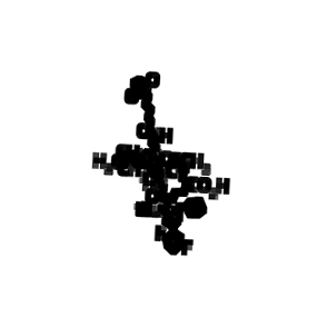 CC(C)(C)C(c1cc(-c2cc(F)ccc2F)cn1Cc1ccccc1)N(CCCN(CC[Si](C)(C)C)C(=O)O)C(=O)CSCC(NC(=O)CC[Si](C)(C)C)C(=O)NCCNC(=O)CCCCCN1C(=O)C=CC1=O